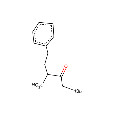 CC(C)(C)CC(=O)C(CCc1ccccc1)C(=O)O